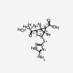 Cl.Nc1nc(S[C@H]2C[C@@](N)(C(=O)O)[C@@H]3[C@@H](C(=O)O)[C@@H]32)n[nH]1